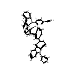 N#Cc1ccc(-n2c3ccccc3c3ccccc32)c(-n2c3ccccc3c3cc(-c4ccc5c(c4)c4ccccc4n5-c4ccccc4)ccc32)c1